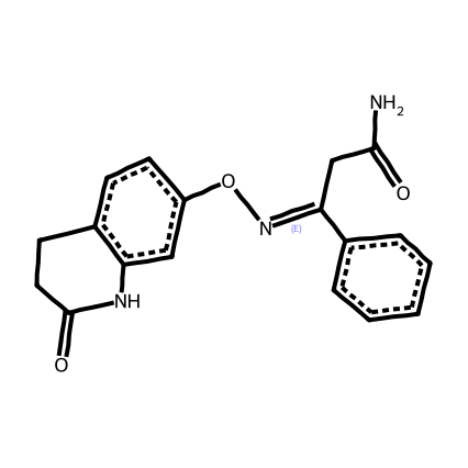 NC(=O)C/C(=N\Oc1ccc2c(c1)NC(=O)CC2)c1ccccc1